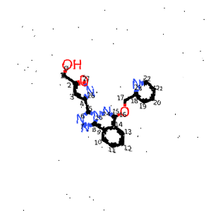 OCc1cc(-c2nnc3c4ccccc4c(OCc4cc[c]cn4)nn23)no1